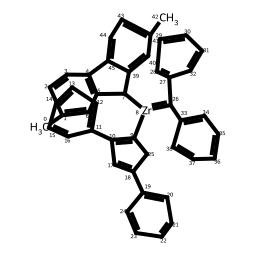 Cc1ccc2c(c1)[CH]([Zr]([C]1=C(c3ccccc3)C=C(c3ccccc3)C1)=[C](c1ccccc1)c1ccccc1)c1cc(C)ccc1-2